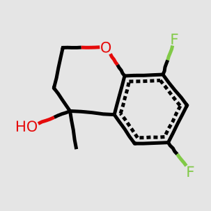 CC1(O)CCOc2c(F)cc(F)cc21